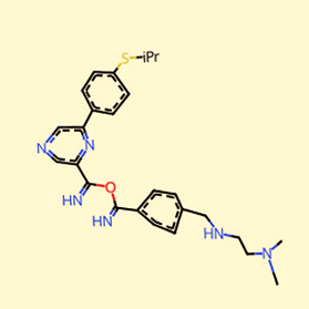 CC(C)Sc1ccc(-c2cncc(C(=N)OC(=N)c3ccc(CNCCN(C)C)cc3)n2)cc1